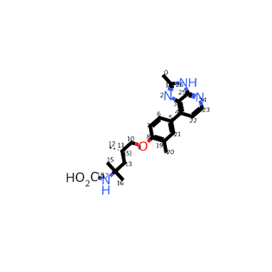 Cc1nc2c(-c3ccc(OC[C@@H](C)CC(C)(C)NC(=O)O)c(C)c3)ccnc2[nH]1